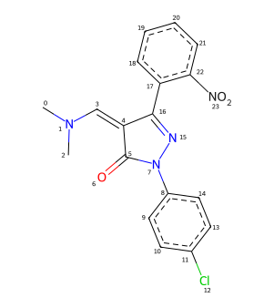 CN(C)C=C1C(=O)N(c2ccc(Cl)cc2)N=C1c1ccccc1[N+](=O)[O-]